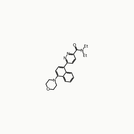 CCN(CC)C(=O)c1ccc(-c2ccc(N3CCOCC3)c3ccccc23)nn1